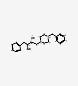 N[C@@H](Cc1ccccc1)[C@H](O)CN1CCN(Cc2ccccc2)CC1